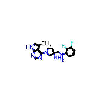 Cc1c[nH]c2ncnc(N3CCC(N)(CNc4cccc(F)c4F)C3)c12